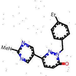 CCc1ccc(Cn2nc(-c3cnc(NC)nc3)ccc2=O)cc1